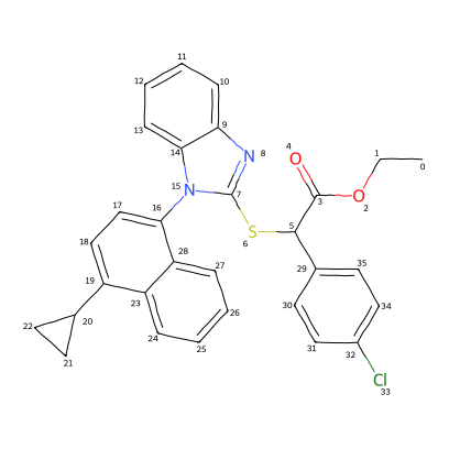 CCOC(=O)C(Sc1nc2ccccc2n1-c1ccc(C2CC2)c2ccccc12)c1ccc(Cl)cc1